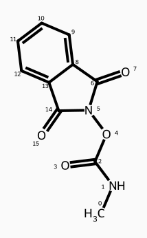 CNC(=O)ON1C(=O)c2ccccc2C1=O